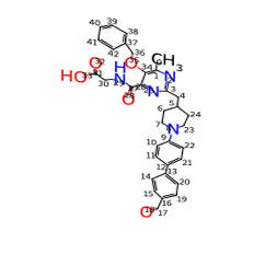 Cc1nc(CC2CCN(c3ccc(-c4ccc(C=O)cc4)cc3)CC2)nc(C(=O)NCC(=O)O)c1OCc1ccccc1